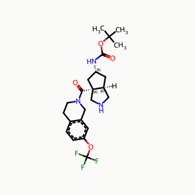 CC(C)(C)OC(=O)N[C@@H]1C[C@H]2CNC[C@@]2(C(=O)N2CCc3ccc(OC(F)(F)F)cc3C2)C1